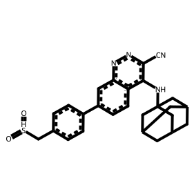 N#Cc1nnc2cc(-c3ccc(C[SH](=O)=O)cc3)ccc2c1NC12CC3CC(CC(C3)C1)C2